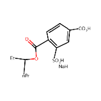 CCCC(CC)OC(=O)c1ccc(C(=O)O)cc1S(=O)(=O)O.[NaH]